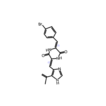 C=C(C)c1[nH]cnc1/C=c1\[nH]c(=O)/c(=C/c2ccc(Br)cc2)[nH]c1=O